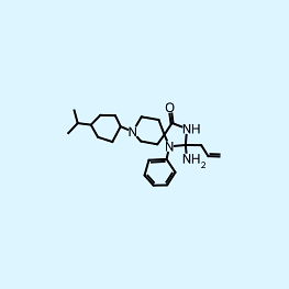 C=CCC1(N)NC(=O)C2(CCN(C3CCC(C(C)C)CC3)CC2)N1c1ccccc1